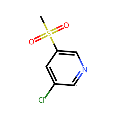 CS(=O)(=O)c1cn[c]c(Cl)c1